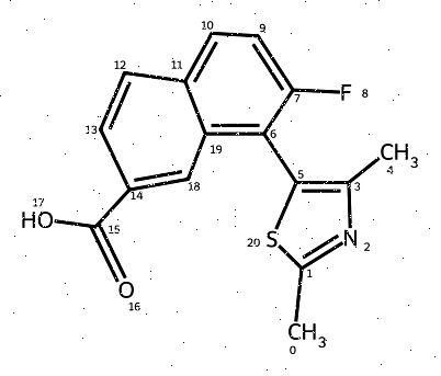 Cc1nc(C)c(-c2c(F)ccc3ccc(C(=O)O)cc23)s1